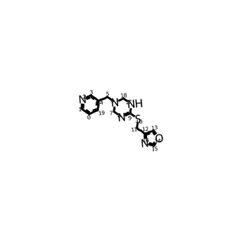 c1cncc(CN2CN=C(SCc3cocn3)NC2)c1